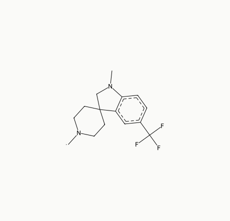 [CH2]N1CCC2(CC1)CN(C)c1ccc(C(F)(F)F)cc12